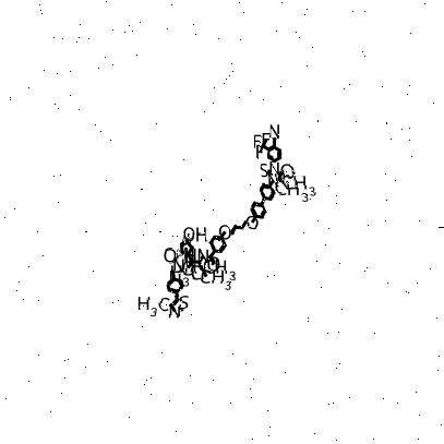 Cc1ncsc1-c1ccc(CNC(=O)[C@@H]2C[C@@H](O)CN2C(=O)C(NC(=O)c2ccc(OCCCCOc3ccc(-c4ccc(N5C(=S)N(c6ccc(C#N)c(C(F)(F)F)c6)C(=O)C5(C)C)cc4)cc3)cc2)C(C)(C)C)cc1